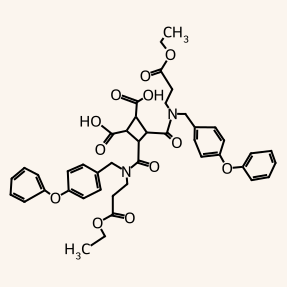 CCOC(=O)CCN(Cc1ccc(Oc2ccccc2)cc1)C(=O)C1C(C(=O)O)C(C(=O)O)C1C(=O)N(CCC(=O)OCC)Cc1ccc(Oc2ccccc2)cc1